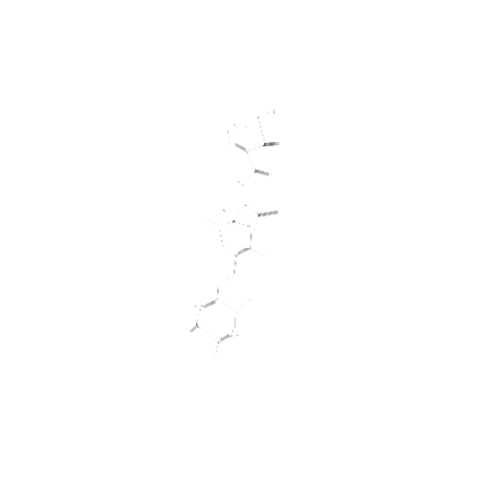 CON=C(C(=O)CBr)C(=O)N[C@@H]1C(=O)N2C(C(=O)O)=C(CSc3nc(=O)c(O)nn3C)C[S+]([O-])[C@H]12